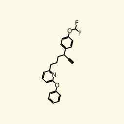 C#CC(CCCc1cccc(Oc2ccccc2)n1)c1ccc(OC(F)F)cc1